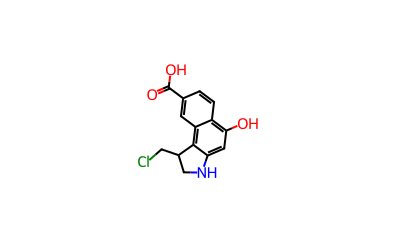 O=C(O)c1ccc2c(O)cc3c(c2c1)C(CCl)CN3